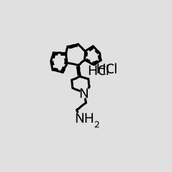 Cl.Cl.NCCN1CCC(=C2c3ccccc3C=Cc3ccccc32)CC1